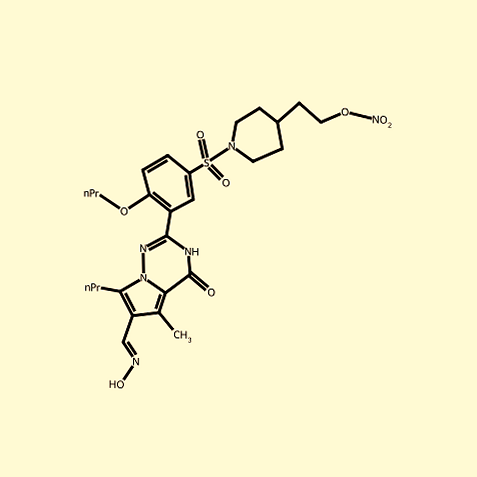 CCCOc1ccc(S(=O)(=O)N2CCC(CCO[N+](=O)[O-])CC2)cc1-c1nn2c(CCC)c(C=NO)c(C)c2c(=O)[nH]1